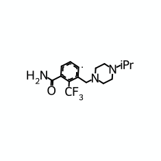 CC(C)N1CCN(Cc2[c]ccc(C(N)=O)c2C(F)(F)F)CC1